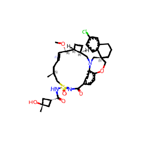 CO[C@H]1/C=C/C[C@H](C)CS(=O)(NC(=O)[C@H]2C[C@@](C)(O)C2)=NC(=O)c2ccc3c(c2)N(C[C@@H]2CC[C@H]21)C[C@@]1(CCCc2cc(Cl)ccc21)CO3